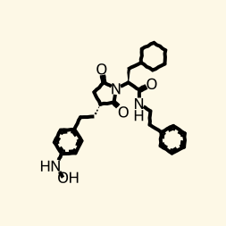 O=C(NCCc1ccccc1)[C@H](CC1CCCCC1)N1C(=O)C[C@@H](CCc2ccc(NO)cc2)C1=O